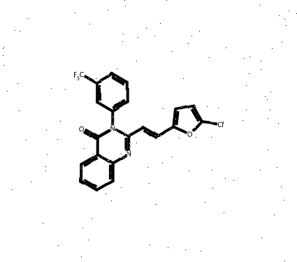 O=c1c2ccccc2nc(C=Cc2ccc(Cl)o2)n1-c1cccc(C(F)(F)F)c1